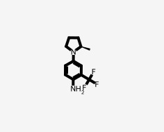 C[C@@H]1CCCN1c1ccc(N)c(C(F)(F)F)c1